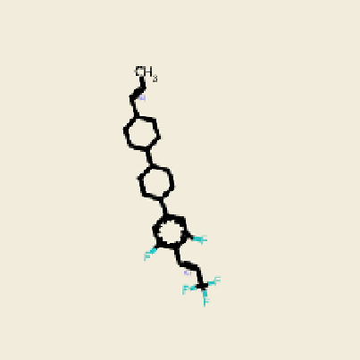 C/C=C/C1CCC(C2CCC(c3cc(F)c(/C=C/C(F)(F)F)c(F)c3)CC2)CC1